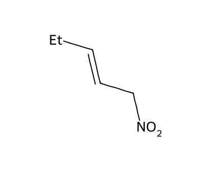 [CH2]C/C=C/C[N+](=O)[O-]